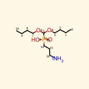 CCCCOC(OCCCC)P(=O)(O)CCCN